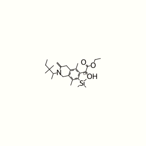 C=C1Cc2c(C)c([C@H](O)C(=O)OCC)c([Si](C)(C)C)c(C)c2CN1C(C)C(C)(C)CC